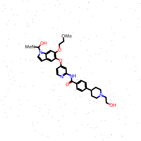 CNC(O)n1ccc2cc(Oc3ccnc(NC(=O)c4ccc(C5CCN(CCO)CC5)cc4)c3)c(OCCOC)cc21